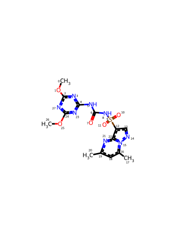 COc1nc(NC(=O)NS(=O)(=O)c2cnn3c(C)cc(C)nc23)nc(OC)n1